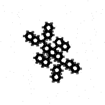 C1=c2ccccc2=C(c2c3cc(N(c4ccc5ccccc5c4)c4ccc5ccccc5c4)ccc3c(-c3cccc4ccccc34)c3cc(N(c4ccc5ccccc5c4)c4ccc5ccccc5c4)ccc23)CC1